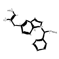 CCCCCC(c1ccccc1)n1ccc2cc(CC(C)=CC(=O)O)ccc21